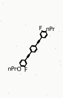 CCCOc1ccc(C#Cc2ccc(C#Cc3ccc(CCC)c(F)c3)cc2)cc1F